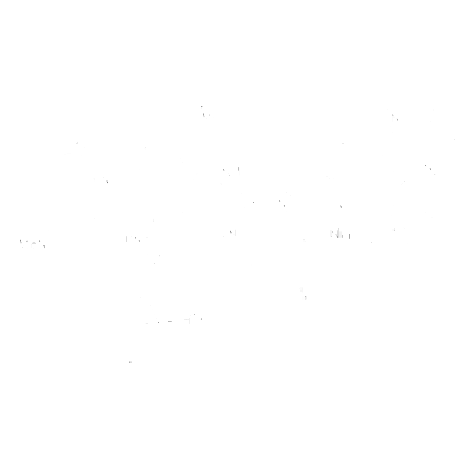 CNCCN(C)c1cc(OC)c(Nc2ncc(Br)c(Nc3ccc4nccnc4c3P(C)(C)=O)n2)cc1NC(=O)CC(F)F